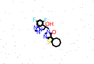 O=c1c2c3c(sc2ncn1CC(O)(Cn1cncn1)c1ccc(F)cc1F)CCCCCC3